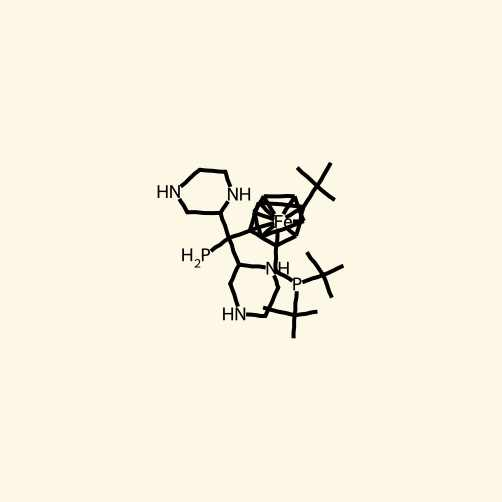 CC(C)(C)P(C[C]12[CH]3[C]4(C(C)(C)C)[CH]5[C]1(C(P)(C1CNCCN1)C1CNCCN1)[Fe]35241678[CH]2[CH]1[CH]6[CH]7[CH]28)C(C)(C)C